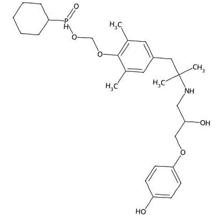 Cc1cc(CC(C)(C)NCC(O)COc2ccc(O)cc2)cc(C)c1OCO[PH](=O)C1CCCCC1